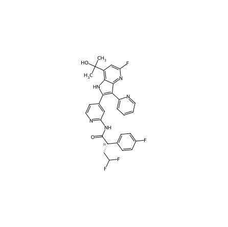 CC(C)(O)c1cc(F)nc2c(-c3ccccn3)c(-c3ccnc(NC(=O)[C@@H](CC(F)F)c4ccc(F)cc4)c3)[nH]c12